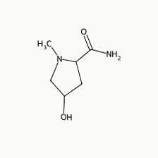 CN1CC(O)CC1C(N)=O